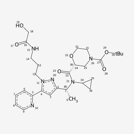 C[C@H](c1cc(-c2ccccn2)n(CCCNC(=O)CO)n1)N(C(=O)[C@H]1CN(C(=O)OC(C)(C)C)CCO1)C1CC1